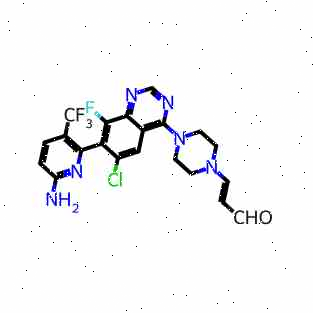 Nc1ccc(C(F)(F)F)c(-c2c(Cl)cc3c(N4CCN(C=CC=O)CC4)ncnc3c2F)n1